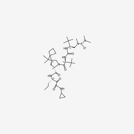 CCC[C@H](NC(=O)[C@@H]1C[C@@]2(CN1C(=O)[C@@H](NC(=O)N[C@H](CN(C)[S+]([O-])N(C)C)C(C)(C)C)C(C)(C)C)C(C)(C)C21CCC1)C(=O)C(=O)NC1CC1